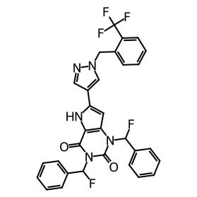 O=c1c2[nH]c(-c3cnn(Cc4ccccc4C(F)(F)F)c3)cc2n(C(F)c2ccccc2)c(=O)n1C(F)c1ccccc1